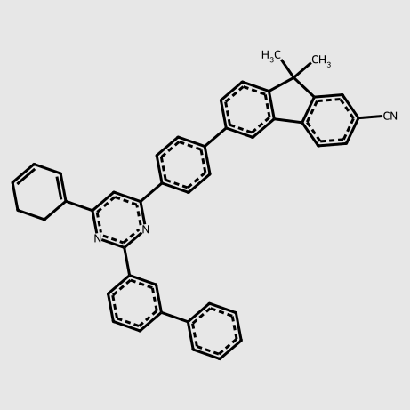 CC1(C)c2ccc(-c3ccc(-c4cc(C5=CC=CCC5)nc(-c5cccc(-c6ccccc6)c5)n4)cc3)cc2-c2ccc(C#N)cc21